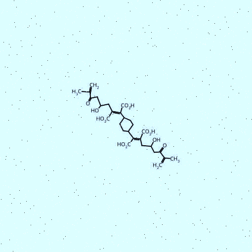 C=C(C)C(=O)CC(O)C/C(C(=O)O)=C(\C(=O)O)C1CCC(/C(C(=O)O)=C(/CC(O)CC(=O)C(=C)C)C(=O)O)CC1